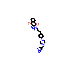 Cn1cc(CN2CCN(c3ccc(CCCn4nnc5c4C(=O)c4ccccc4C5=O)cc3)CC2)cn1